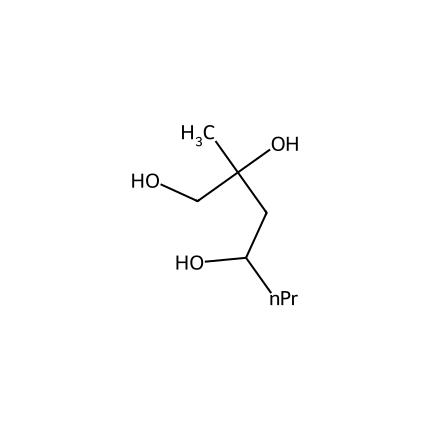 CCCC(O)CC(C)(O)CO